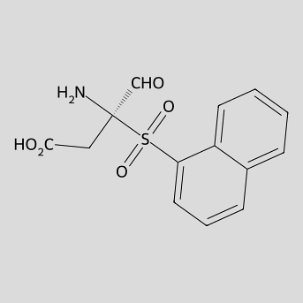 N[C@](C=O)(CC(=O)O)S(=O)(=O)c1cccc2ccccc12